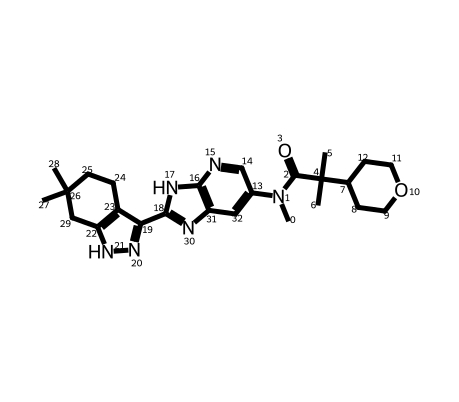 CN(C(=O)C(C)(C)C1CCOCC1)c1cnc2[nH]c(-c3n[nH]c4c3CCC(C)(C)C4)nc2c1